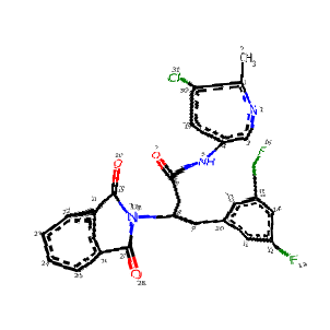 Cc1ncc(NC(=O)C(Cc2cc(F)cc(F)c2)N2C(=O)c3ccccc3C2=O)cc1Cl